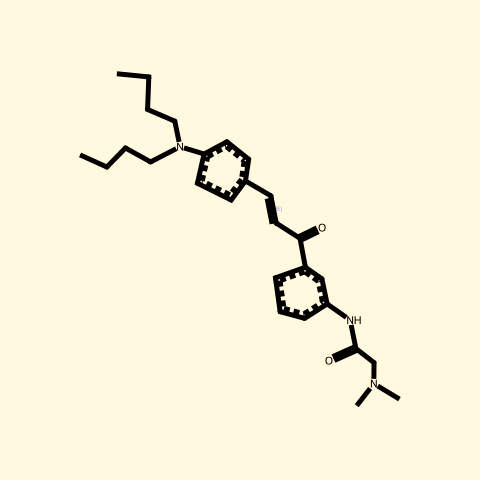 CCCCN(CCCC)c1ccc(/C=C/C(=O)c2cccc(NC(=O)CN(C)C)c2)cc1